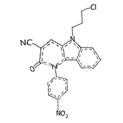 N#Cc1cc2c(c3ccccc3n2CCCCl)n(-c2ccc([N+](=O)[O-])cc2)c1=O